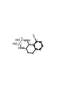 O=C(O)N[C@@H]1CCc2cccc(F)c2[C@@H]1NC(=O)O